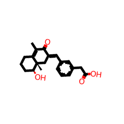 CC1=C2CCC[C@H](O)[C@@]2(C)C/C(=C\c2cccc(CC(=O)O)c2)C1=O